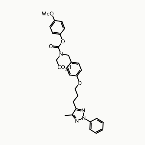 COc1ccc(OC(=O)N(CC(=O)O)Cc2ccc(OCCCc3nn(-c4ccccc4)nc3C)cc2)cc1